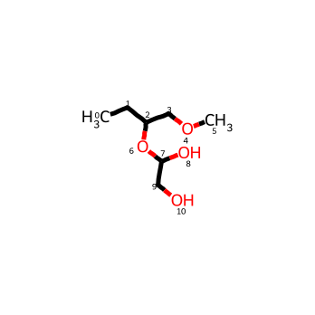 CCC(COC)OC(O)CO